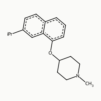 CC(C)c1ccc2cccc(OC3CCN(C)CC3)c2c1